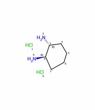 Cl.Cl.N[C@@H]1CCCC[C@H]1N